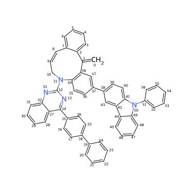 C=C1c2ccccc2/C=C\CN(c2nc(-c3ccc(-c4ccccc4)cc3)c3ccccc3n2)c2ccc(-c3ccc4c(c3)c3ccccc3n4-c3ccccc3)cc21